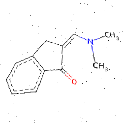 CN(C)C=C1Cc2ccccc2C1=O